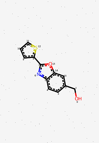 OCc1ccc2nc(-c3cccs3)oc2c1